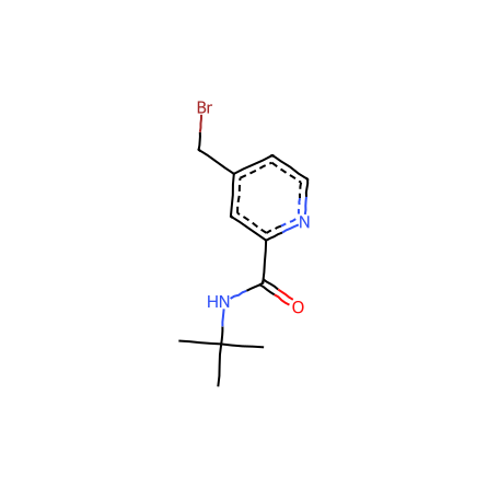 CC(C)(C)NC(=O)c1cc(CBr)ccn1